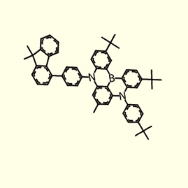 Cc1cc2c3c(c1)N(c1ccc(C(C)(C)C)cc1)c1cc(C(C)(C)C)ccc1B3c1cc(C(C)(C)C)ccc1N2c1ccc(-c2cccc3c2-c2ccccc2C3(C)C)cc1